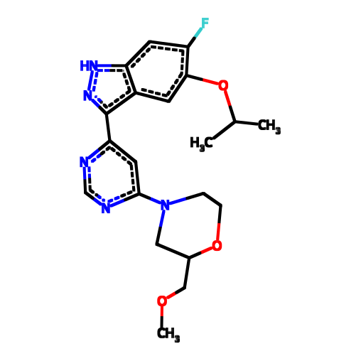 COCC1CN(c2cc(-c3n[nH]c4cc(F)c(OC(C)C)cc34)ncn2)CCO1